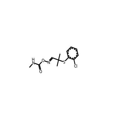 CNC(=O)O/N=C/C(C)(C)Sc1ccccc1Cl